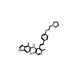 Cc1ncc(C#N)c(Nc2ccc3[nH]ccc3c2C)c1C=Cc1ccc(OCCN2CCCC2)cc1